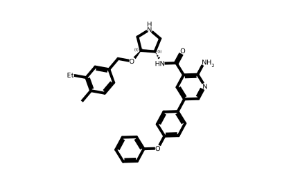 CCc1cc(CO[C@H]2CNC[C@@H]2NC(=O)c2cc(-c3ccc(Oc4ccccc4)cc3)cnc2N)ccc1C